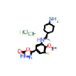 CCOc1c(F)cc(-c2n[nH]c(=O)o2)cc1N[C@@H](C)C1CCC(N)CC1.Cl.Cl